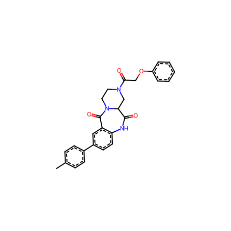 Cc1ccc(-c2ccc3c(c2)C(=O)N2CCN(C(=O)COc4ccccc4)CC2C(=O)N3)cc1